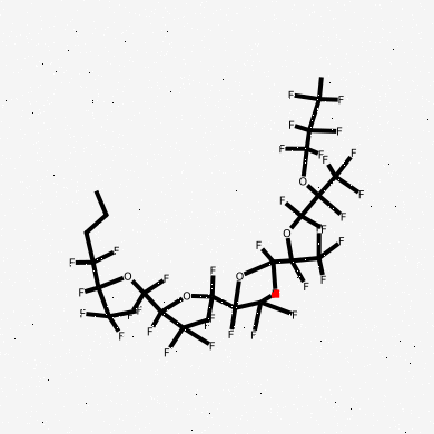 CCCC(F)(F)C(F)(OC(F)(F)C(F)(OC(F)(F)C(F)(OC(F)(F)C(F)(OC(F)(F)C(F)(OC(F)(F)C(F)(F)C(C)(F)F)C(F)(F)F)C(F)(F)F)C(F)(F)F)C(F)(F)F)C(F)(F)F